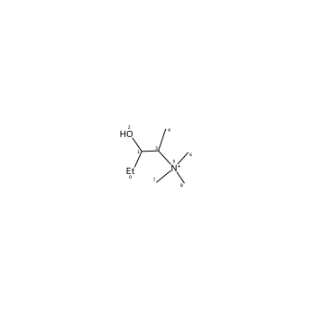 CCC(O)C(C)[N+](C)(C)C